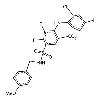 COc1ccc(CNS(=O)(=O)c2cc(C(=O)O)c(Nc3ccc(I)cc3Cl)c(F)c2F)cc1